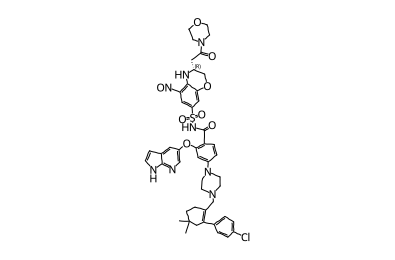 CC1(C)CCC(CN2CCN(c3ccc(C(=O)NS(=O)(=O)c4cc(N=O)c5c(c4)OC[C@@H](CC(=O)N4CCOCC4)N5)c(Oc4cnc5[nH]ccc5c4)c3)CC2)=C(c2ccc(Cl)cc2)C1